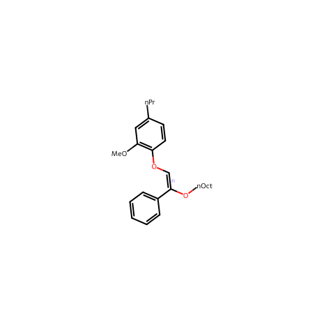 CCCCCCCCO/C(=C/Oc1ccc(CCC)cc1OC)c1ccccc1